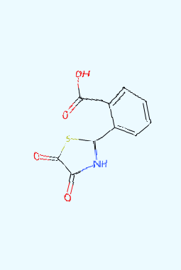 O=C1NC(c2ccccc2C(=O)O)SC1=O